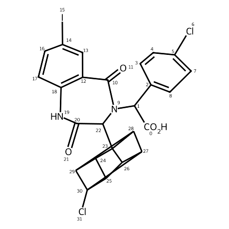 O=C(O)C(c1ccc(Cl)cc1)N1C(=O)c2cc(I)ccc2NC(=O)C1C12C3C4C1C1C2C3C41Cl